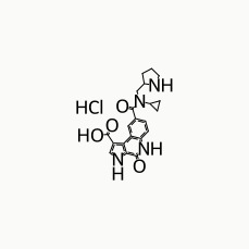 Cl.O=C(O)c1c[nH]c2c(=O)[nH]c3ccc(C(=O)N(CC4CCCN4)C4CC4)cc3c12